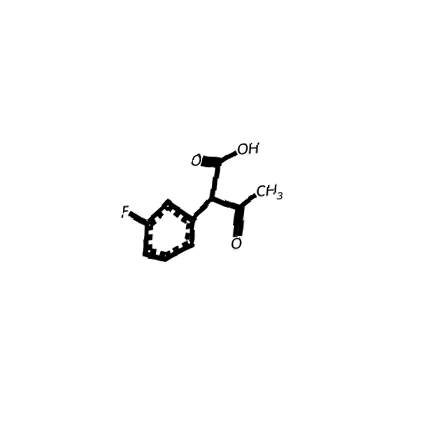 CC(=O)C(C(=O)O)c1cccc(F)c1